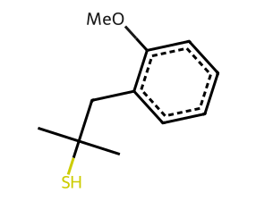 COc1ccccc1CC(C)(C)S